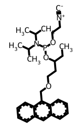 [C-]#[N+]CCOP(OC(CC)CCOCc1c2ccccc2cc2ccccc12)N(C(C)C)C(C)C